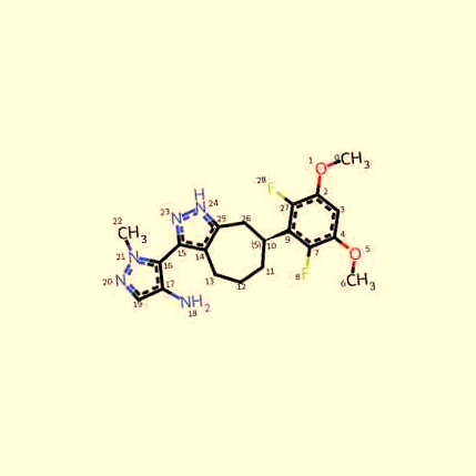 COc1cc(OC)c(F)c([C@H]2CCCc3c(-c4c(N)cnn4C)n[nH]c3C2)c1F